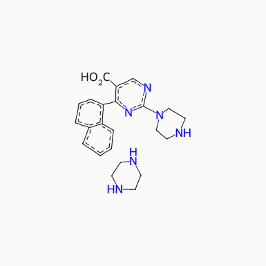 C1CNCCN1.O=C(O)c1cnc(N2CCNCC2)nc1-c1cccc2ccccc12